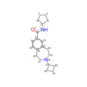 O=C(NC1CCCC1)c1ccc2c(c1)CCN(C1CCC1)CC2